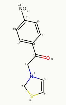 O=C(CN1C=CSC1)c1ccc([N+](=O)[O-])cc1